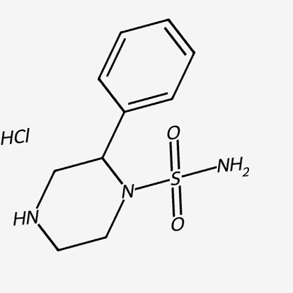 Cl.NS(=O)(=O)N1CCNCC1c1ccccc1